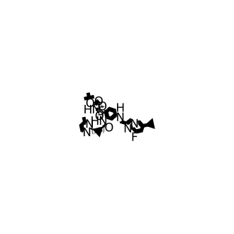 Cc1ccnc([C@H]2C[C@@H]2C(=O)Nc2cc(NCc3cn4cc(C5CC5)cc(F)c4n3)ccc2S(=O)(=O)NC(=O)OC(C)(C)C)n1